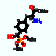 COC(=O)[C@@H](N)Cc1ccc(C(O)P(=O)(OC(C)(C)C)OC(C)(C)C)cc1